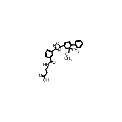 COCC1(C)CC(c2nc(-c3cccc(C(=O)NCCCC(=O)O)c3)no2)=CC=C1c1ccccc1